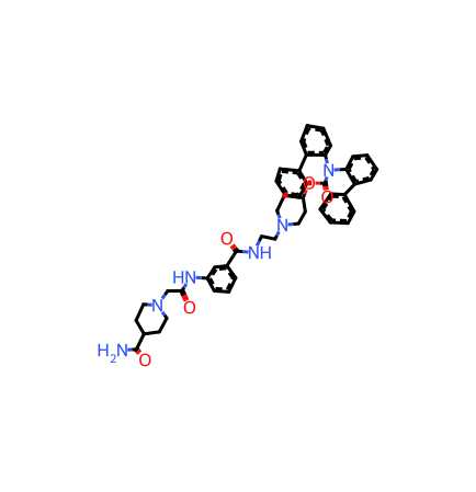 NC(=O)C1CCN(CC(=O)Nc2cccc(C(=O)NCCN3CCC(OC(=O)N(c4ccccc4-c4ccccc4)c4ccccc4-c4ccccc4)CC3)c2)CC1